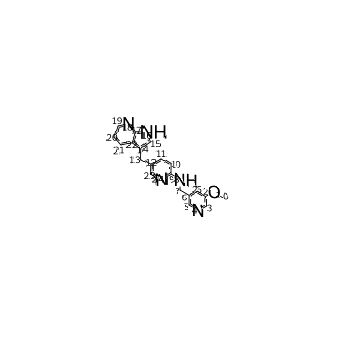 COc1cncc(CNc2ccc(Cc3c[nH]c4ncccc34)cn2)c1